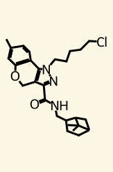 Cc1ccc2c(c1)OCc1c(C(=O)NCC3CCC4CC3C4(C)C)nn(CCCCCCl)c1-2